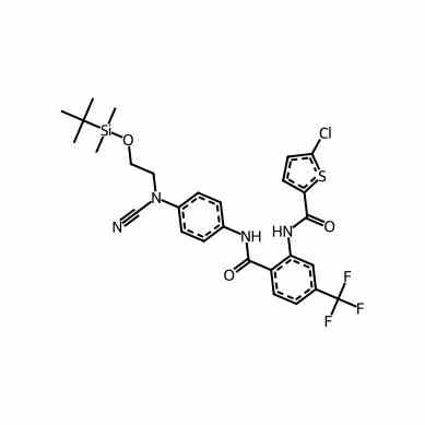 CC(C)(C)[Si](C)(C)OCCN(C#N)c1ccc(NC(=O)c2ccc(C(F)(F)F)cc2NC(=O)c2ccc(Cl)s2)cc1